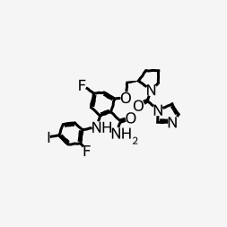 NC(=O)c1c(Nc2ccc(I)cc2F)cc(F)cc1OC[C@H]1CCCN1C(=O)n1ccnc1